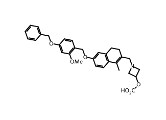 COc1cc(OCc2ccccc2)ccc1COc1ccc2c(c1)CCC(CN1CC(OC(=O)O)C1)=C2C